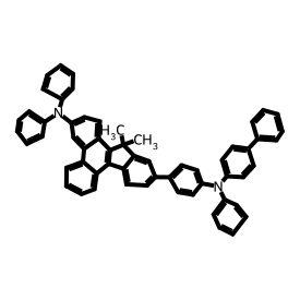 CC1(C)c2cc(-c3ccc(N(c4ccccc4)c4ccc(-c5ccccc5)cc4)cc3)ccc2-c2c1c1ccc(N(c3ccccc3)c3ccccc3)cc1c1ccccc21